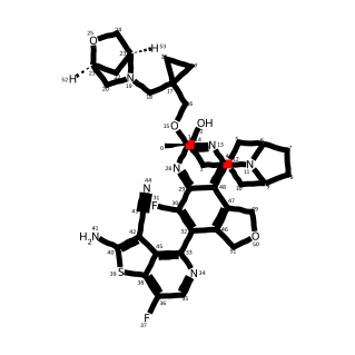 C[C@@H](O)CN1CC2CCC(C1)N2c1nc(OCC2(CN3C[C@@H]4C[C@H]3CO4)CC2)nc2c(F)c(-c3ncc(F)c4sc(N)c(C#N)c34)c3c(c12)COC3